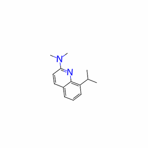 CC(C)c1cccc2ccc(N(C)C)nc12